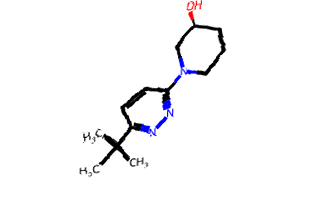 CC(C)(C)c1ccc(N2CCC[C@H](O)C2)nn1